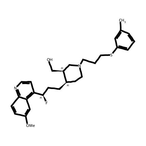 COc1ccc2nccc([C@H](F)CC[C@@H]3CCN(CCCSc4cccc(C)c4)C[C@@H]3CO)c2c1